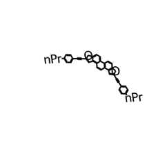 CCCc1ccc(C#Cc2cc3c(ccc4c3ccc3c5cc(C#Cc6ccc(CCC)cc6)oc5ccc34)o2)cc1